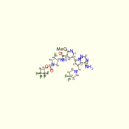 COc1ncc(-c2cc(CN3CCC(F)(F)CC3)c3c(N)ncnn23)cc1C(=O)N[C@@H]1CN(C(=O)OC2CC(F)(F)C2(F)F)C[C@@H]1F